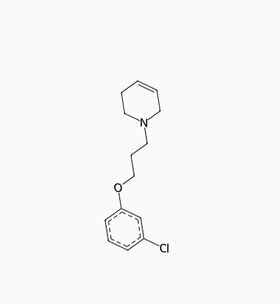 Clc1cccc(OCCCN2CC=CCC2)c1